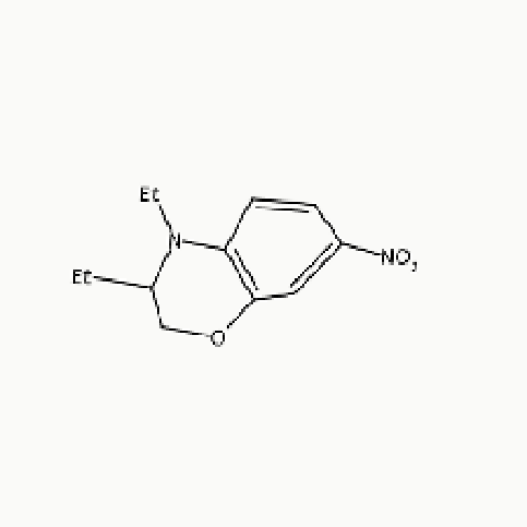 CCC1COc2cc([N+](=O)[O-])ccc2N1CC